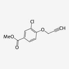 C#CCOc1ccc(C(=O)OC)cc1Cl